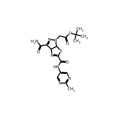 Cc1ncc(NC(=O)C2=NC3C(C(N)=O)=NN(CC(=O)OC(C)(C)C)C3S2)cn1